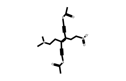 CC(=O)SC#C/C(CCN(C)C)=C(/C#CSC(C)=O)CC[N+](=O)[O-]